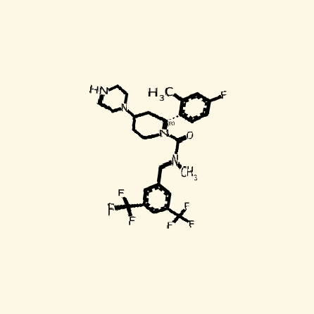 Cc1cc(F)ccc1[C@H]1CC(N2CCNCC2)CCN1C(=O)N(C)Cc1cc(C(F)(F)F)cc(C(F)(F)F)c1